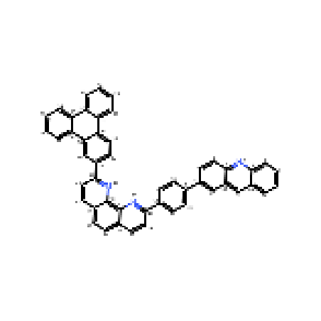 c1ccc2nc3ccc(-c4ccc(-c5ccc6ccc7ccc(-c8ccc9c%10ccccc%10c%10ccccc%10c9c8)nc7c6n5)cc4)cc3cc2c1